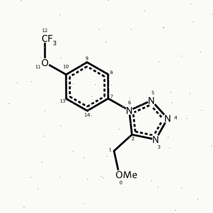 [CH2]OCc1nnnn1-c1ccc(OC(F)(F)F)cc1